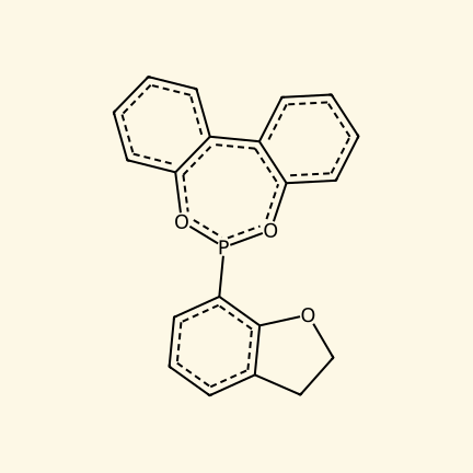 c1cc2c(c(-p3oc4ccccc4c4ccccc4o3)c1)OCC2